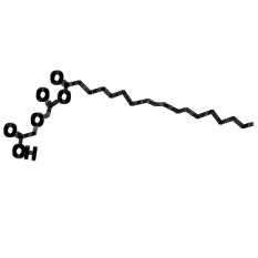 CCCCCCCCCCCCCCCCCC(=O)OC(=O)COCC(=O)O